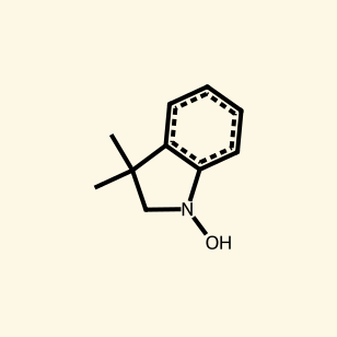 CC1(C)CN(O)c2ccccc21